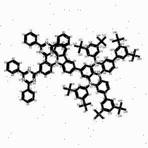 CC(C)(C)c1cc(-c2ccc3c(c2)N(c2cc(C(C)(C)C)cc(C(C)(C)C)c2)c2cc(-c4ccc5c(c4)c4ccccc4n5-c4ccc(-c5nc(-c6ccccc6)nc(-c6ccccc6)n5)cc4-c4nc(-c5ccccc5)nc(-c5ccccc5)n4)cc4c2B3c2ccc(-c3cc(C(C)(C)C)cc(C(C)(C)C)c3)cc2N4c2cc(C(C)(C)C)cc(C(C)(C)C)c2)cc(C(C)(C)C)c1